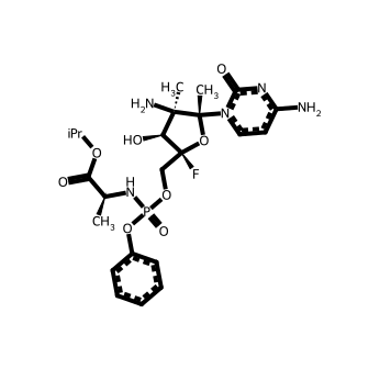 CC(C)OC(=O)[C@H](C)NP(=O)(OC[C@@]1(F)O[C@@](C)(n2ccc(N)nc2=O)[C@](C)(N)[C@@H]1O)Oc1ccccc1